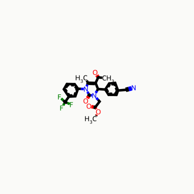 COC(=O)CN1C(=O)N(c2cccc(C(F)(F)F)c2)C(C)=C(C(C)=O)C1c1ccc(C#N)cc1